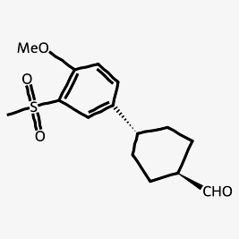 COc1ccc([C@H]2CC[C@H](C=O)CC2)cc1S(C)(=O)=O